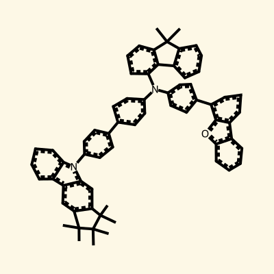 CC1(C)c2ccccc2-c2c(N(c3ccc(-c4ccc(-n5c6ccccc6c6cc7c(cc65)C(C)(C)C(C)(C)C7(C)C)cc4)cc3)c3ccc(-c4cccc5c4oc4ccccc45)cc3)cccc21